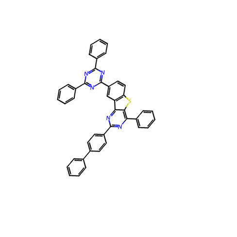 c1ccc(-c2ccc(-c3nc(-c4ccccc4)c4sc5ccc(-c6nc(-c7ccccc7)nc(-c7ccccc7)n6)cc5c4n3)cc2)cc1